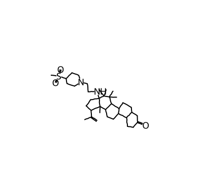 C=C(C)C1CCC2(NCCN3CCC(S(C)(=O)=O)CC3)C1(C)C1CCC3C4CCC(=O)CC4CCC3C1C(C)(C)C2(C)C